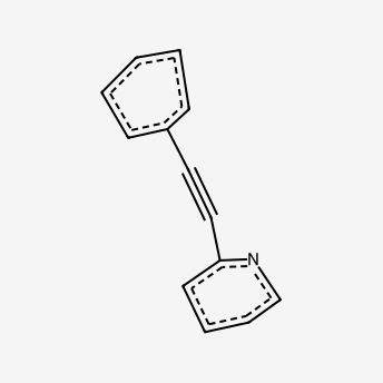 C(#Cc1ccccn1)c1ccccc1